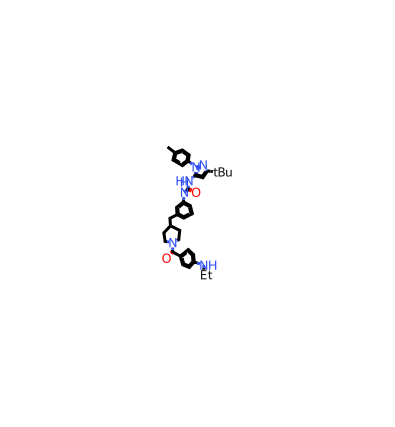 CCNc1ccc(C(=O)N2CCC(Cc3cccc(NC(=O)Nc4cc(C(C)(C)C)nn4-c4ccc(C)cc4)c3)CC2)cc1